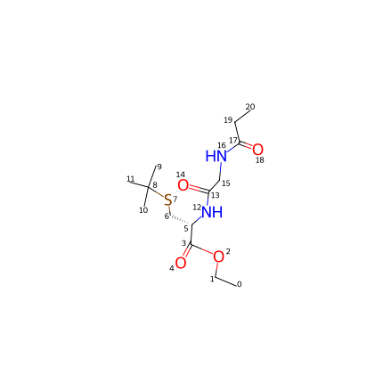 CCOC(=O)[C@H](CSC(C)(C)C)NC(=O)CNC(=O)CC